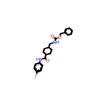 O=C(NCC1CCC(C(=O)Nc2ccc(F)cc2)CC1)OCc1ccccc1